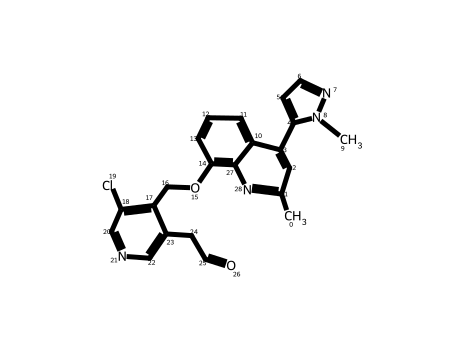 Cc1cc(-c2ccnn2C)c2cccc(OCc3c(Cl)cncc3CC=O)c2n1